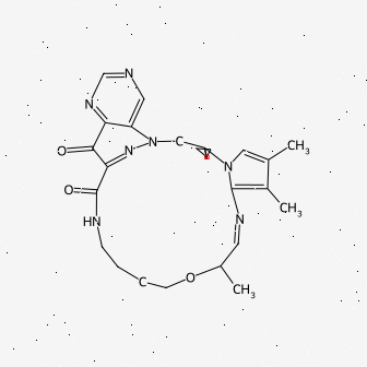 Cc1cn2c(c1C)/N=C\C(C)OCCCCNC(=O)c1nn(c3cncnc3c1=O)CC21CCCC1